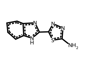 Nc1nnc(-c2nc3ccccc3[nH]2)s1